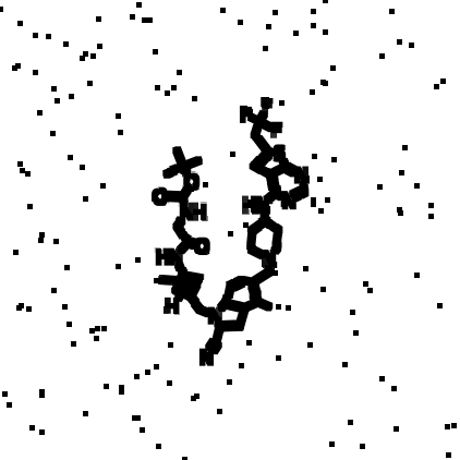 Cc1c(CN2CCC(Nc3ncnc4sc(CC(F)(F)F)cc34)CC2)ccc2c1cc(C#N)n2CC12CC(NC(=O)CNC(=O)OC(C)(C)C)(C1)[C@H]2C